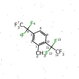 Cc1cc(C(F)(F)C(F)(F)F)ccc1C(F)(F)C(F)(F)F